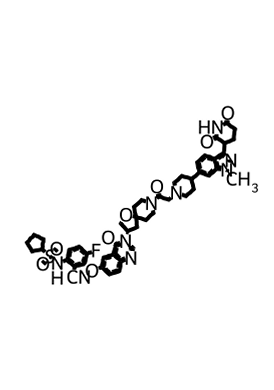 Cn1nc(C2CCC(=O)NC2=O)c2ccc(C3CCN(CC(=O)N4CCC5(CC4)C[C@@H](n4cnc6ccc(Oc7c(F)ccc(NS(=O)(=O)C8CCCC8)c7C#N)cc6c4=O)CO5)CC3)cc21